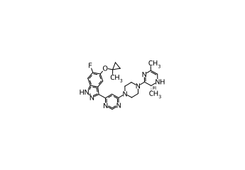 CC1=CN[C@H](C)C(N2CCN(c3cc(-c4n[nH]c5cc(F)c(OC6(C)CC6)cc45)ncn3)CC2)=N1